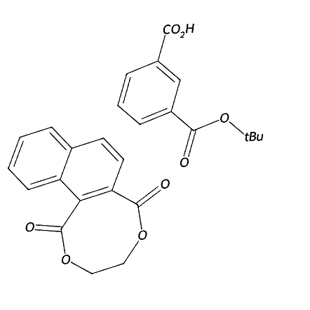 CC(C)(C)OC(=O)c1cccc(C(=O)O)c1.O=C1OCCOC(=O)c2c1ccc1ccccc21